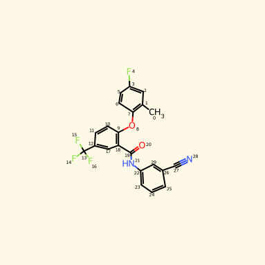 Cc1cc(F)ccc1Oc1ccc(C(F)(F)F)cc1C(=O)Nc1cccc(C#N)c1